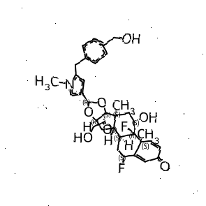 Cn1cc([C@@H]2O[C@@H]3C[C@H]4[C@@H]5C[C@H](F)C6=CC(=O)C=C[C@]6(C)[C@@]5(F)[C@@H](O)C[C@]4(C)[C@]3(C(=O)CO)O2)cc1Cc1ccc(CO)cc1